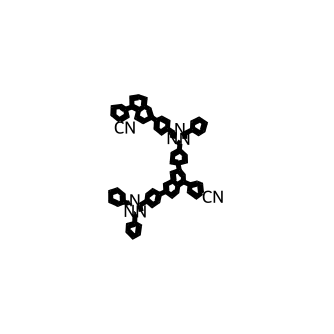 N#Cc1ccc(-c2cc(-c3ccc(-c4nc(-c5ccccc5)nc(-c5ccc(-c6ccc7c(-c8cccc(C#N)c8)cccc7c6)cc5)n4)cc3)cc3cc(-c4ccc(-c5nc(-c6ccccc6)nc(-c6ccccc6)n5)cc4)ccc23)cc1